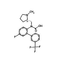 CN1CCC[C@H]1CN(C(=O)O)c1ccc(F)cc1-c1cccc(C(F)(F)F)c1